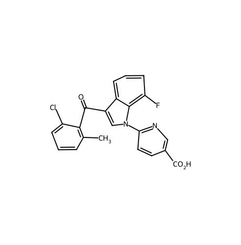 Cc1cccc(Cl)c1C(=O)c1cn(-c2ccc(C(=O)O)cn2)c2c(F)cccc12